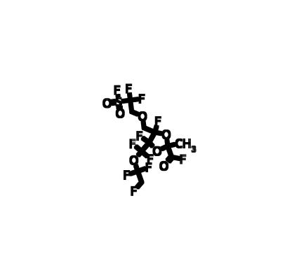 CC1(C(=O)F)OC(F)(COCC(F)(F)S(=O)(=O)F)C(F)(C(F)(F)OC(F)(F)CF)O1